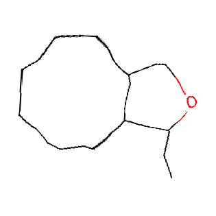 CC1OCC2CCCCCCC21